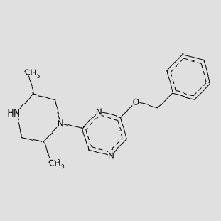 CC1CN(c2cncc(OCc3ccccc3)n2)C(C)CN1